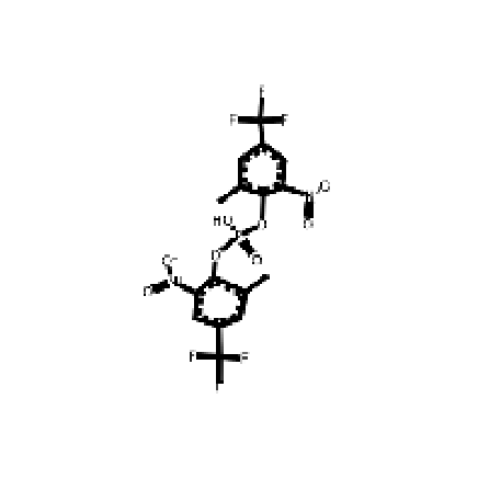 Cc1cc(C(F)(F)F)cc([N+](=O)[O-])c1OP(=O)(O)Oc1c(C)cc(C(F)(F)F)cc1[N+](=O)[O-]